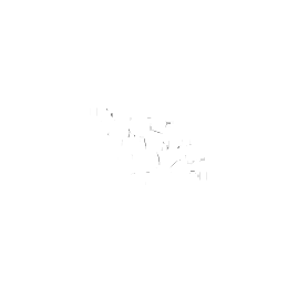 COc1c(N2CCC(N)C2)c(F)cn2c(=O)c(C(=O)O)cc(C3CC3)c12.Cl